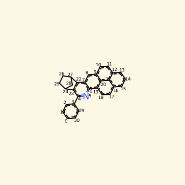 c1ccc(-c2nc3c(cc4ccc5cccc6ccc3c4c56)c3c2C2CCC3C2)cc1